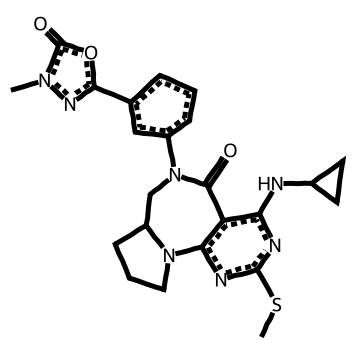 CSc1nc(NC2CC2)c2c(n1)N1CCCC1CN(c1cccc(-c3nn(C)c(=O)o3)c1)C2=O